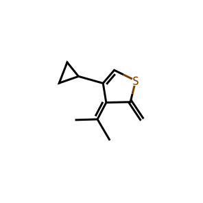 C=c1scc(C2CC2)c1=C(C)C